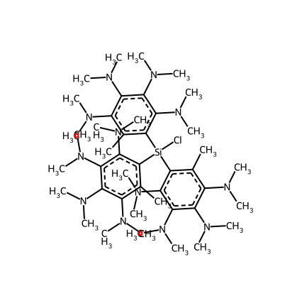 Cc1c(N(C)C)c(N(C)C)c(N(C)C)c(N(C)C)c1[Si](Cl)(c1c(C)c(N(C)C)c(N(C)C)c(N(C)C)c1N(C)C)c1c(C)c(N(C)C)c(N(C)C)c(N(C)C)c1N(C)C